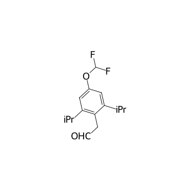 CC(C)c1cc(OC(F)F)cc(C(C)C)c1CC=O